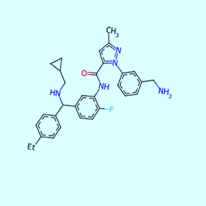 CCc1ccc(C(NCC2CC2)c2ccc(F)c(NC(=O)c3cc(C)nn3-c3cccc(CN)c3)c2)cc1